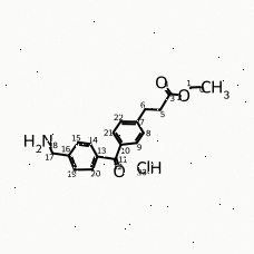 CCOC(=O)CCc1ccc(C(=O)c2ccc(CN)cc2)cc1.Cl